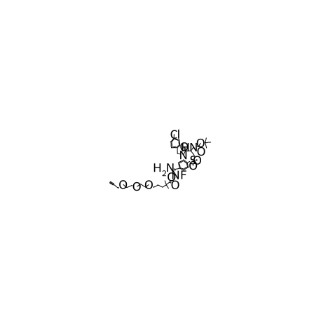 C#CCOCCOCCOCCCC(C)(C)C(=O)O/N=C(\N)c1cc2c(cc1F)S(=O)(=O)C[C@H](NC(=O)OC(C)(C)C)C(=O)N2Cc1ccc(Cl)cc1